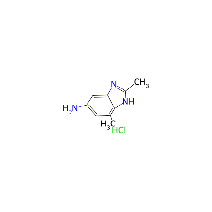 Cc1nc2cc(N)cc(C)c2[nH]1.Cl